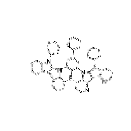 c1ccc(-n2c3ccccc3c3c4cccc5c4n(c32)-c2cc(-c3ccccn3)cc3c2B5c2ccnc4c5c6ncccc6n(-c6ccccc6)c5n-3c24)cc1